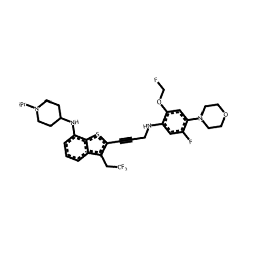 CC(C)N1CCC(Nc2cccc3c(CC(F)(F)F)c(C#CCNc4cc(F)c(N5CCOCC5)cc4OCF)sc23)CC1